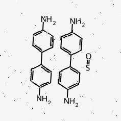 Nc1ccc(-c2ccc(N)cc2)cc1.Nc1ccc(-c2ccc(N)cc2)cc1.O=S